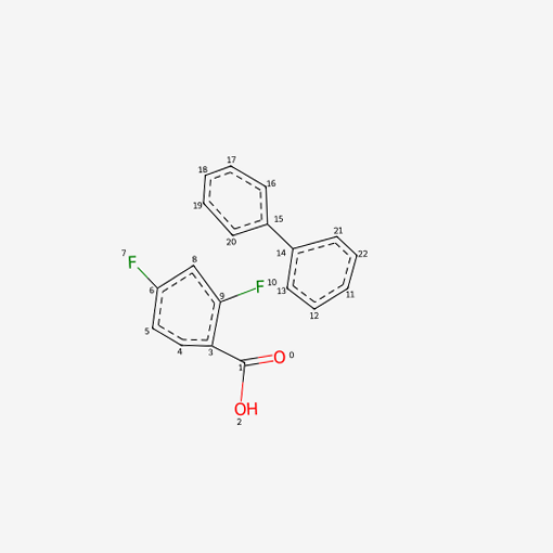 O=C(O)c1ccc(F)cc1F.c1ccc(-c2ccccc2)cc1